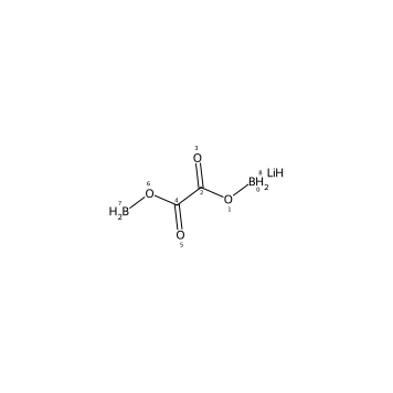 BOC(=O)C(=O)OB.[LiH]